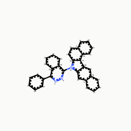 c1ccc(-c2nnc(-n3c4cc5ccccc5cc4c4c5ccccc5ccc43)c3ccccc23)cc1